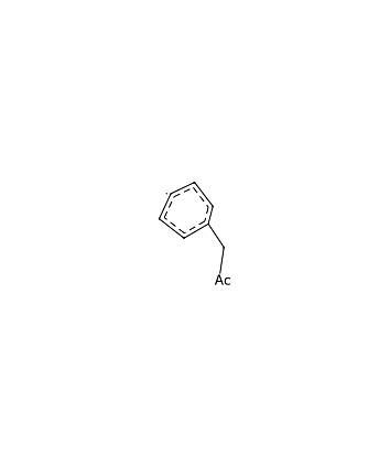 CC(=O)Cc1cc[c]cc1